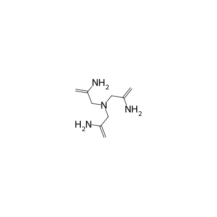 C=C(N)CN(CC(=C)N)CC(=C)N